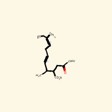 CC/C(C)=C\C/C=C/C(C)C(CC(=O)OC)C(=O)O